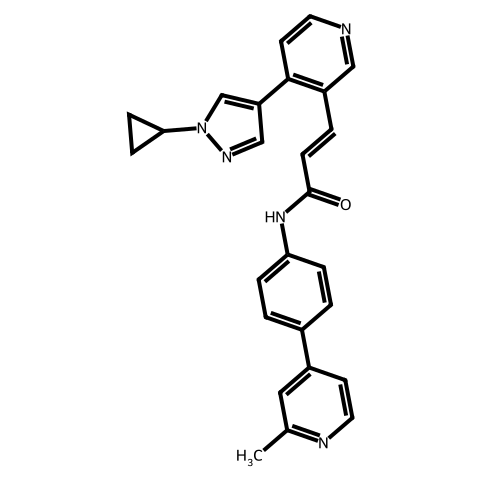 Cc1cc(-c2ccc(NC(=O)C=Cc3cnccc3-c3cnn(C4CC4)c3)cc2)ccn1